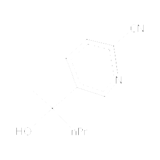 CCCC(C)(O)c1ccc(C#N)nc1